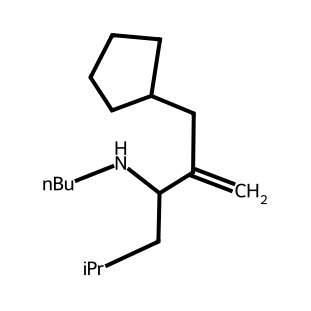 C=C(CC1CCCC1)C(CC(C)C)NCCCC